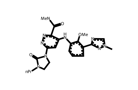 CCCN1CCN(c2cc(Nc3cccc(-c4ncn(C)n4)c3OC)c(C(=O)NC)nn2)C1=O